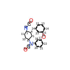 O=C=NC1CCC(N=C=O)CC1.c1ccc(Oc2ccccc2)cc1